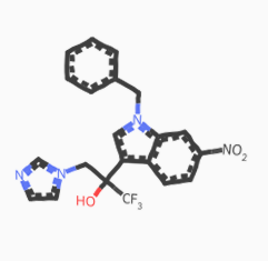 O=[N+]([O-])c1ccc2c(C(O)(Cn3ccnc3)C(F)(F)F)cn(Cc3ccccc3)c2c1